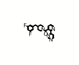 O=C(c1cccnc1-c1ccncn1)N1CCC(Cc2cc(F)cc(F)c2)CC1